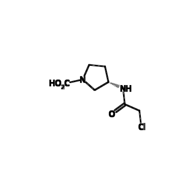 O=C(CCl)N[C@H]1CCN(C(=O)O)C1